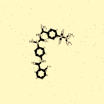 CC(NC(=O)N(S)c1ccc(NC(=O)c2ccccc2F)cc1)c1ccc(S(=O)(=O)N(C)C)cc1